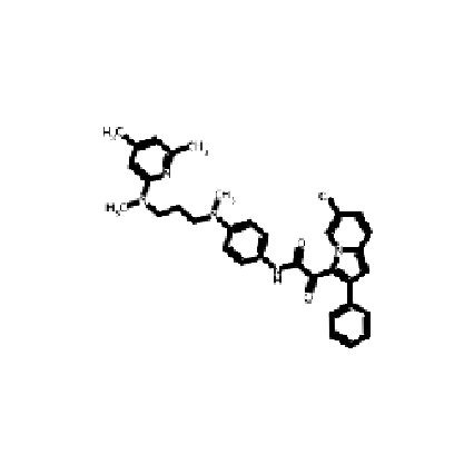 Cc1cc(C)nc(N(C)CCCN(C)c2ccc(NC(=O)C(=O)c3c(-c4ccccc4)cc4ccc(Cl)cn34)cc2)c1